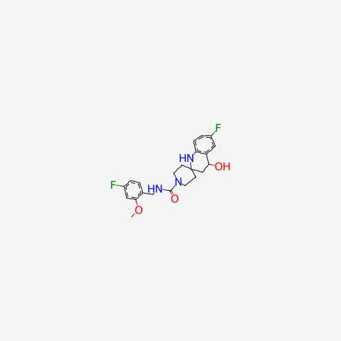 COc1cc(F)ccc1CNC(=O)N1CCC2(CC1)CC(O)c1cc(F)ccc1N2